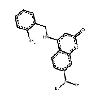 CCN(CC)c1ccc2c(NCc3ccccc3N)cc(=O)sc2c1